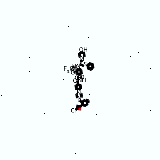 CC1(C)CCC(C23CC(Cl)(C2)C3)=C(CN2CCN(c3ccc(C(=O)NS(=O)(=O)c4ccc(N[C@H](CCN5CCC(O)CC5)CSc5ccccc5)c(S(=O)(=O)C(F)(F)F)c4)cc3)CC2)C1